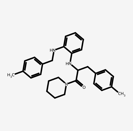 Cc1ccc(CNc2ccccc2NC(Cc2ccc(C)cc2)C(=O)N2CCCCC2)cc1